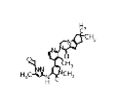 CCc1c(-c2cc(Nc3cc(C)n(C4COC4)n3)c(=O)n(C)c2)ccnc1N1CCn2c(cc3c2CC(C)(C)C3)C1=O